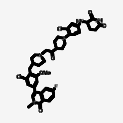 COc1cc(-c2cn(C)c(=O)c3ccc(F)cc23)cc(Cl)c1CC1CCN(CC(=O)C2CCN(c3ccc(NC4CCC(=O)NC4=O)cc3Cl)CC2)CC1